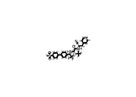 CC(C)(F)C[C@H](N[C@@H](c1ccc(-c2ccc(S(C)(=O)=O)cc2)cc1)C(F)(F)F)C(=O)N[C@H](C#N)Cc1ccncc1